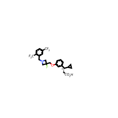 O=C(O)C[C@H](c1cccc(OCC2(F)CN(Cc3cc(C(F)(F)F)ccc3C(F)(F)F)C2)c1)C1CC1